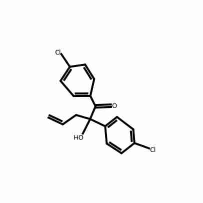 C=CCC(O)(C(=O)c1ccc(Cl)cc1)c1ccc(Cl)cc1